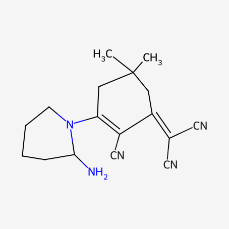 CC1(C)CC(=C(C#N)C#N)C(C#N)=C(N2CCCCC2N)C1